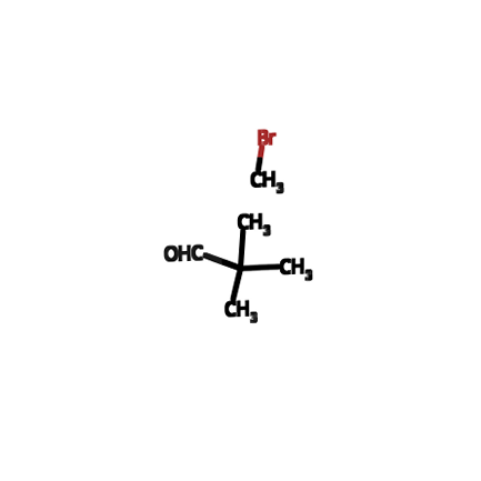 CBr.CC(C)(C)C=O